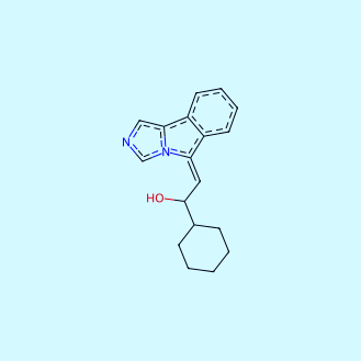 OC(/C=c1/c2ccccc2c2cncn12)C1CCCCC1